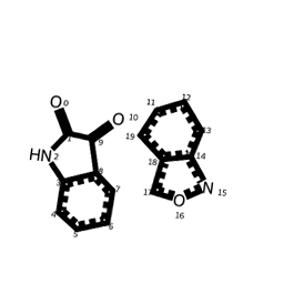 O=C1Nc2ccccc2C1=O.c1ccc2nocc2c1